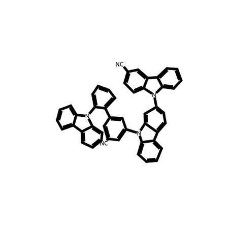 N#Cc1cc(-c2ccccc2-n2c3ccccc3c3ccccc32)cc(-n2c3ccccc3c3ccc(-n4c5ccccc5c5cc(C#N)ccc54)cc32)c1